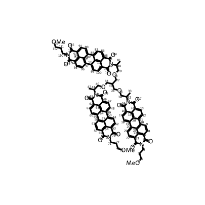 COCCCN1C(=O)c2ccc3c4ccc5c6c(ccc(c7ccc(c2c37)C1=O)c64)C(=O)N(C(C)COCC(COCC(C)N1C(=O)c2ccc3c4ccc6c7c(ccc(c8ccc(c2c38)C1=O)c74)C(=O)N(CCCOC)C6=O)COCC(C)N1C(=O)c2ccc3c4ccc6c7c(ccc(c8ccc(c2c38)C1=O)c74)C(=O)N(CCCOC)C6=O)C5=O